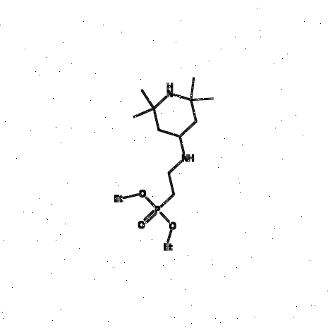 CCOP(=O)(CCNC1CC(C)(C)NC(C)(C)C1)OCC